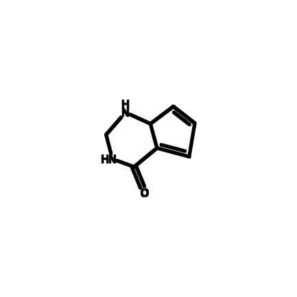 O=C1NCNC2C=CC=C12